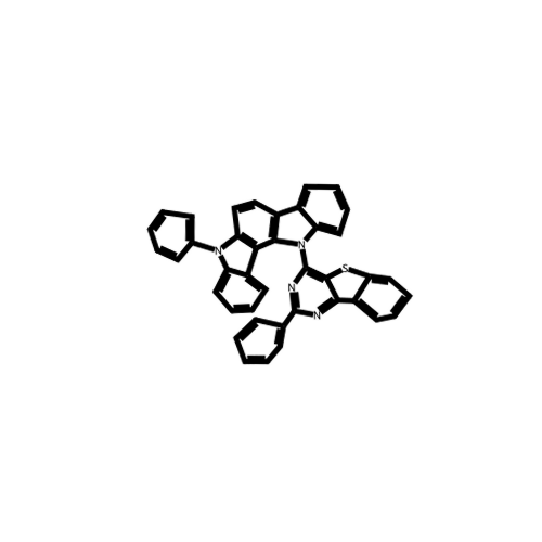 c1ccc(-c2nc(-n3c4ccccc4c4ccc5c(c6ccccc6n5-c5ccccc5)c43)c3sc4ccccc4c3n2)cc1